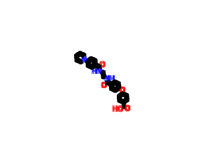 O=C(NCCNC(=O)c1ccc(N2CCCCC2)cc1)c1ccc(O[C@H]2CC[C@@H](C(=O)O)CC2)cc1